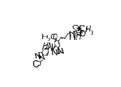 COc1cc2c(Nc3ccc4c(cnn4Cc4ccccc4)c3)ncnc2cc1CCCNCCS(C)(=O)=O